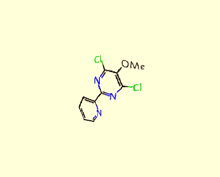 COc1c(Cl)nc(-c2ccccn2)nc1Cl